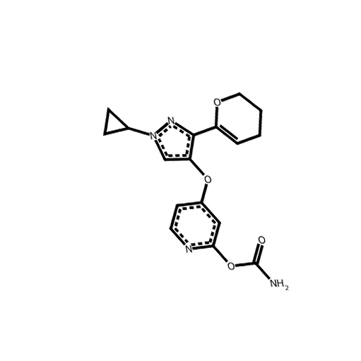 NC(=O)Oc1cc(Oc2cn(C3CC3)nc2C2=CCCCO2)ccn1